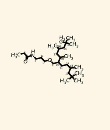 CCC(=O)NCCCOCC(CCC(C)CC(C)(C)C)C(C)CC(C)CC(C)(C)C